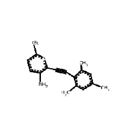 Cc1cc(C)c(C#Cc2nc(C(C)(C)C)ccc2N)c(C)c1